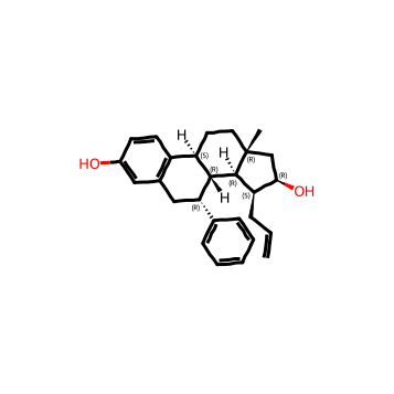 C=CC[C@H]1[C@H]2[C@H]3[C@H](CC[C@]2(C)C[C@H]1O)c1ccc(O)cc1C[C@H]3c1ccccc1